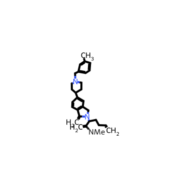 C=CCCC(C(=C)NC)N1Cc2cc(C3CCN(Cc4cccc(C)c4)CC3)ccc2C1=C